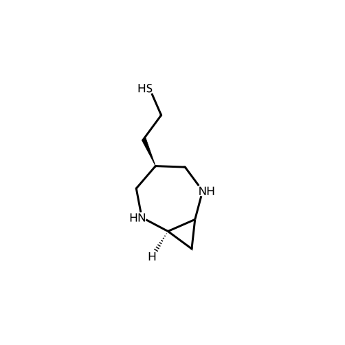 SCC[C@H]1CNC2C[C@H]2NC1